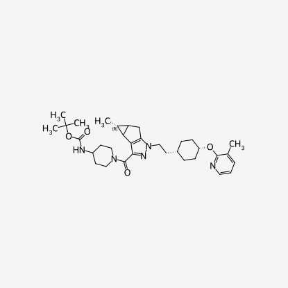 Cc1cccnc1O[C@H]1CC[C@@H](CCn2nc(C(=O)N3CCC(NC(=O)OC(C)(C)C)CC3)c3c2CC2C3[C@@H]2C)CC1